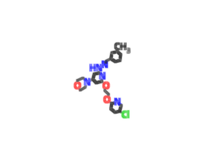 Cc1cccc(/C=N/Nc2cc(N3CCOCC3)cc(OCCOc3ccc(Cl)cn3)n2)c1